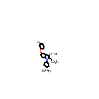 CCOC(=O)Cc1c(C(=O)OCC)c2cc(Oc3cccc(Cl)c3)ccc2n1-c1ccc(N(CC)CC)cc1